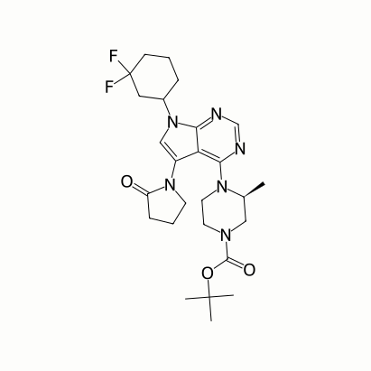 C[C@H]1CN(C(=O)OC(C)(C)C)CCN1c1ncnc2c1c(N1CCCC1=O)cn2C1CCCC(F)(F)C1